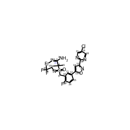 C/N=C(/N)C(C)(C)S(=O)(Cc1cc(-c2cc(-c3ncc(Cl)cn3)no2)ccc1F)=NCC(F)(F)F